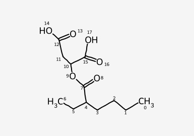 CCCCC(CC)C(=O)OC(CC(=O)O)C(=O)O